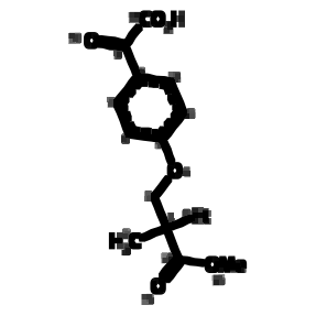 CCC(C)(COc1ccc(C(=O)C(=O)O)cc1)C(=O)OC